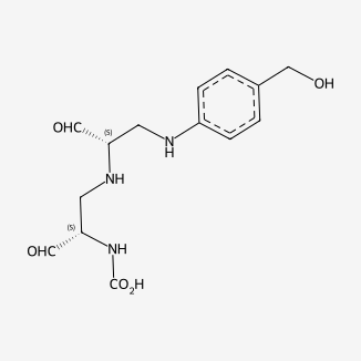 O=C[C@H](CNc1ccc(CO)cc1)NC[C@@H](C=O)NC(=O)O